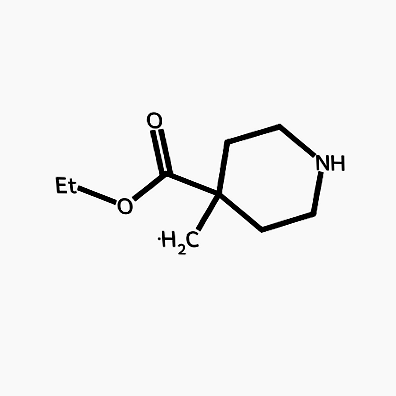 [CH2]C1(C(=O)OCC)CCNCC1